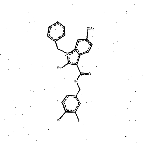 COc1ccc2c(C(=O)NCc3ccc(F)c(F)c3)c(C(C)C)n(Cc3ccccc3)c2c1